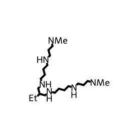 CCC(CNCCCCNCCCNC)CNCCCCNCCCNC